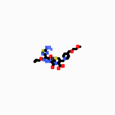 C=CCON=C(C(=O)NC1C(=O)N2C(C(=O)[O-])=C(C[n+]3ccc(COCCOC)cc3)CS[C@@H]12)c1nsc(N)n1